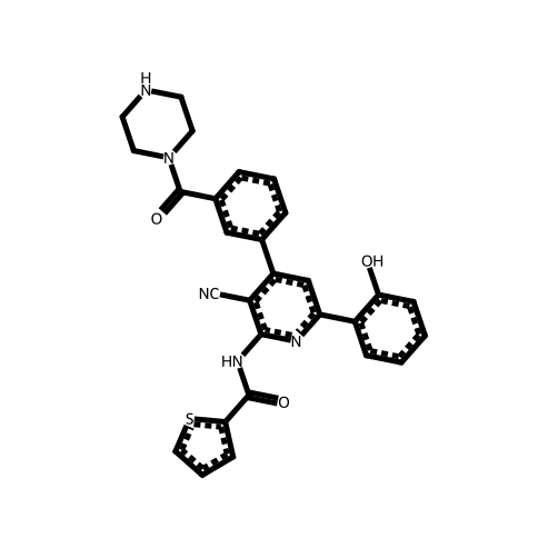 N#Cc1c(-c2cccc(C(=O)N3CCNCC3)c2)cc(-c2ccccc2O)nc1NC(=O)c1cccs1